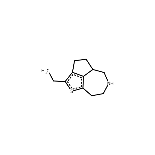 CCc1sc2c3c1CCC3CNCC2